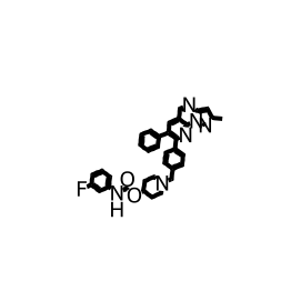 Cc1cc2ncc3cc(-c4ccccc4)c(-c4ccc(CN5CCC(OC(=O)Nc6cccc(F)c6)CC5)cc4)nc3n2n1